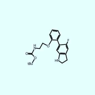 CC(C)(C)OC(=O)NCCOc1ccccc1-c1cc2c(cc1F)CCN2